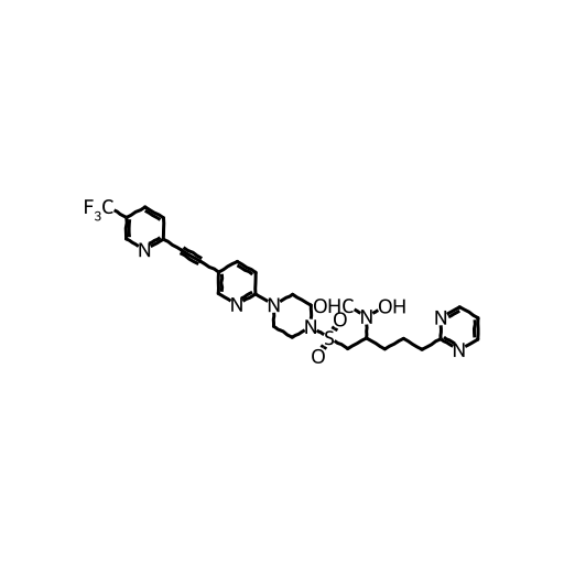 O=CN(O)C(CCCc1ncccn1)CS(=O)(=O)N1CCN(c2ccc(C#Cc3ccc(C(F)(F)F)cn3)cn2)CC1